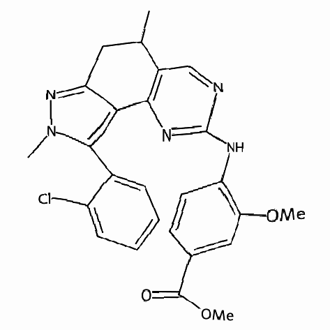 COC(=O)c1ccc(Nc2ncc3c(n2)-c2c(nn(C)c2-c2ccccc2Cl)CC3C)c(OC)c1